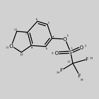 O=S(=O)(Oc1ccc2c(c1)COC2)C(F)(F)F